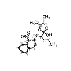 CCCC(Nc1ccc2ccccc2c1[N+](=O)[O-])P(=O)(O)OC(C)CC